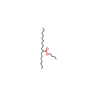 CCCCCCCCCC(CCCCCCC)C(=O)OCCCC